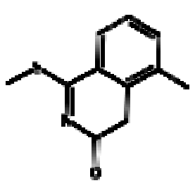 CSC1=NC(=O)Cc2c(C)cccc21